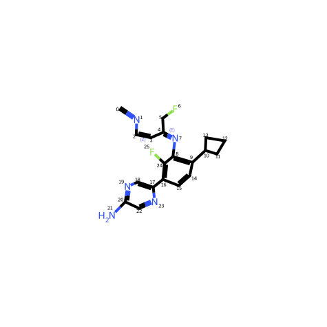 C=N/C=C\C(CF)=N/c1c(C2CCC2)ccc(-c2cnc(N)cn2)c1F